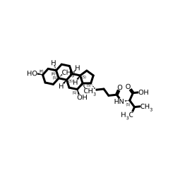 CC(C)[C@H](NC(=O)CCC[C@H]1CC[C@H]2[C@@H]3CC[C@@H]4C[C@H](O)CC[C@]4(C)[C@H]3C[C@H](O)[C@]12C)C(=O)O